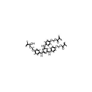 C=C(C)C(=O)OCOc1ccc(Nc2nc(Nc3ccc(OCOC(=O)C(=C)C)cc3)nc(Nc3ccc(OCOC(O)C(=C)C)cc3)n2)cc1